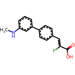 CNc1cccc(-c2ccc(C=C(F)C(=O)O)cc2)c1